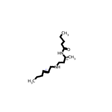 CCC/C=C/CNCC[C@H](C)NC(=O)CCCC